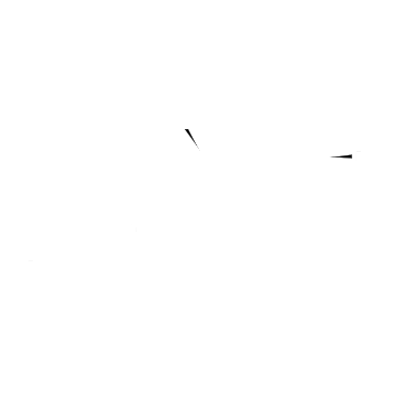 CCC=CO[C@@H]1CCC[C@@H]([C@H]2CC[C@H](CC)CC2)C1